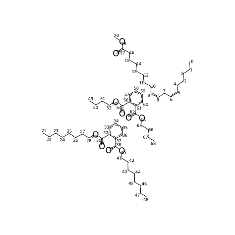 CCCCC/C=C\C/C=C\CCCCCCCC(=O)OC.CCCCCCCCOC(=O)c1ccccc1C(=O)OCCCCCCCC.CCCCOC(=O)c1ccccc1C(=O)OCCCC